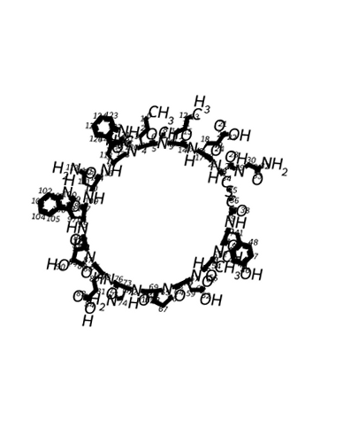 CCCC[C@H]1C(=O)N(C)[C@@H](CCCC)C(=O)N[C@@H](CCC(=O)O)C(=O)N[C@H](C(=O)NCC(N)=O)CSCC(=O)N[C@@H](Cc2ccc(O)cc2)C(=O)N(C)[C@@H](C)C(=O)N[C@@H](CC(=O)O)C(=O)N2CCC[C@H]2C(=O)N[C@@H](CN)C(=O)N[C@@H](CCC(=O)O)C(=O)N2C[C@H](O)C[C@H]2C(=O)N[C@@H](Cc2c[nH]c3ccccc23)C(=O)N[C@@H](CCN)C(=O)N[C@@H](Cc2c[nH]c3ccccc23)C(=O)N1C